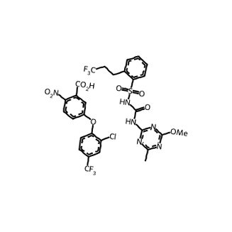 COc1nc(C)nc(NC(=O)NS(=O)(=O)c2ccccc2CCC(F)(F)F)n1.O=C(O)c1cc(Oc2ccc(C(F)(F)F)cc2Cl)ccc1[N+](=O)[O-]